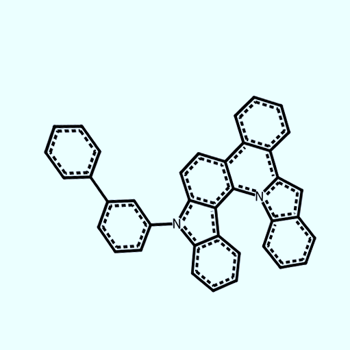 c1ccc(-c2cccc(-n3c4ccccc4c4c3ccc3c5ccccc5c5cc6ccccc6n5c34)c2)cc1